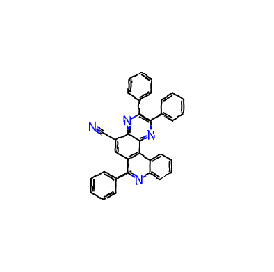 N#Cc1cc2c(-c3ccccc3)nc3ccccc3c2c2nc(-c3ccccc3)c(-c3ccccc3)nc12